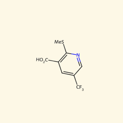 CSc1ncc(C(F)(F)F)cc1C(=O)O